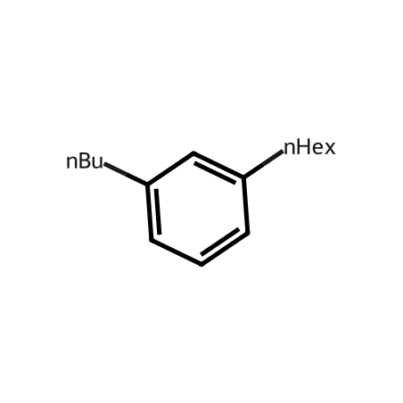 CCCCCCc1cccc(CCCC)c1